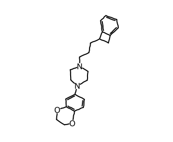 c1ccc2c(c1)CC2CCCN1CCN(c2ccc3c(c2)OCCO3)CC1